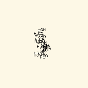 CC1([C@@H]2CC[C@]3(NC[C@H](C(=O)O)N4CCS(O)(O)CC4)CC[C@]4(C)[C@H](CC[C@@H]5[C@@]6(C)CC[C@H](OC(=O)[C@H]7C[C@@H](C(=O)O)C7(C)C)C(C)(C)[C@@H]6CC[C@]54C)[C@@H]23)CC1